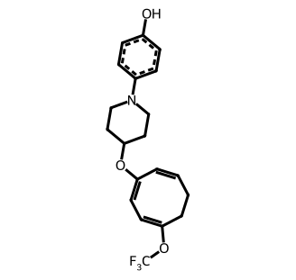 Oc1ccc(N2CCC(OC3=C/C=C(/OC(F)(F)F)CC/C=C\3)CC2)cc1